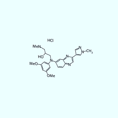 CNCC(O)CN(c1cc(OC)cc(OC)c1)c1ccc2ncc(-c3cnn(C)c3)nc2c1.Cl